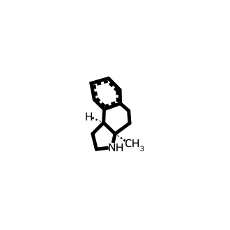 C[C@@]12CCc3ccccc3[C@@H]1CCN2